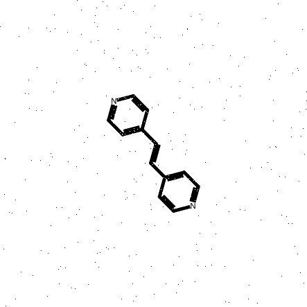 C(=Cc1ccncc1)c1ccncc1